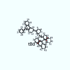 CC(C)(C)c1ccc(N(c2cccc(-c3ccc4c(c3)c3ccccc3n4-c3ccccc3)c2)c2ccccc2-c2cccc3cccc(C4CCCCC4)c23)cc1